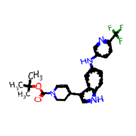 CC(C)(C)OC(=O)N1CCC(c2c[nH]c3ccc(Nc4ccc(C(F)(F)F)nc4)cc23)CC1